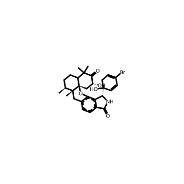 C[C@H]1CCC2C(C)(C)C(=O)[C@H](O)C[C@]23Oc2c(ccc4c2[C@H](C2(O)C=CC(Br)=CC2)NC4=O)C[C@]13C